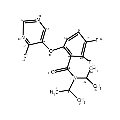 CC(C)N(C(=O)c1c(Oc2cncnc2Cl)ccc(F)c1F)C(C)C